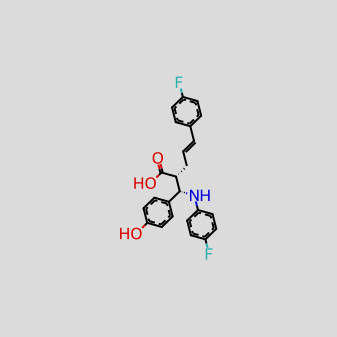 O=C(O)[C@H](C/C=C/c1ccc(F)cc1)[C@H](Nc1ccc(F)cc1)c1ccc(O)cc1